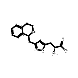 N[C@@H](Cc1cc(CC2NCCc3ccccc32)no1)C(=O)O